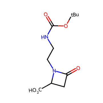 CC(C)(C)OC(=O)NCCN1C(=O)CC1C(=O)O